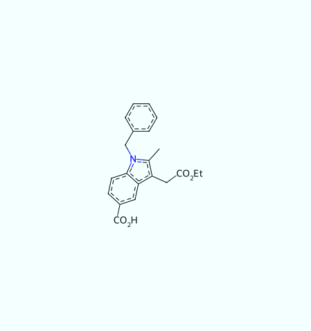 CCOC(=O)Cc1c(C)n(Cc2ccccc2)c2ccc(C(=O)O)cc12